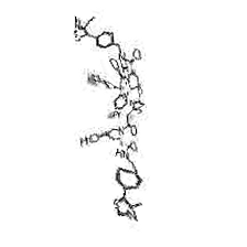 Cc1ncsc1-c1ccc(CNC(=O)[C@@H]2C[C@@H](Oc3csc([C@H](C(=O)N4C[C@H](O)C[C@H]4C(=O)NCc4ccc(-c5scnc5C)cc4)C(C)C)n3)CN2C(=O)[C@@H](c2ccccn2)C(C)C)cc1